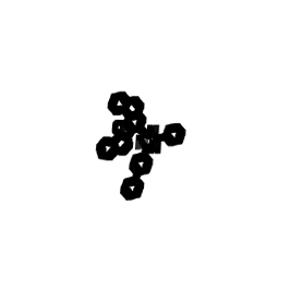 c1ccc(-c2ccc(-c3nc(-c4ccccc4)nc(-c4cc5ccc6ccccc6c5c5oc6c7ccccc7ccc6c45)n3)cc2)cc1